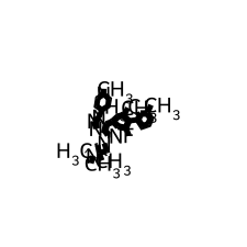 Cc1cccc(-c2c(C)cc3c(nc(N4CC(C)(N(C)C)C4)c4nnn(C5CCN(C)CC5)c43)c2F)c1C